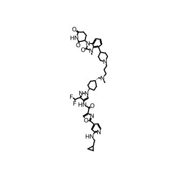 CN(CCCN1CCC(c2cccc3c2n(C)c(=O)n3C2CCC(=O)NC2=O)CC1)C[C@H]1CC[C@H](n2cc(NC(=O)c3coc(-c4ccnc(NCC5CC5)c4)n3)c(C(F)F)n2)CC1